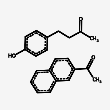 CC(=O)CCc1ccc(O)cc1.CC(=O)c1ccc2ccccc2c1